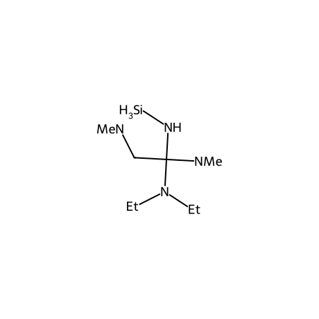 CCN(CC)C(CNC)(NC)N[SiH3]